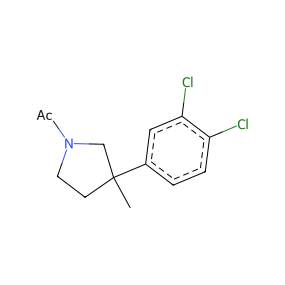 CC(=O)N1CCC(C)(c2ccc(Cl)c(Cl)c2)C1